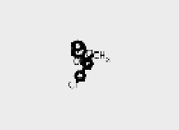 CCc1ccc(-c2ccc(Cl)cc2)cc1/C1=C(\O)CC2CCC(CC2)CC1=O